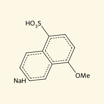 COc1ccc(S(=O)(=O)O)c2ccccc12.[NaH]